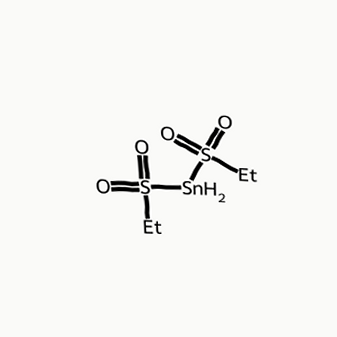 CC[S](=O)(=O)[SnH2][S](=O)(=O)CC